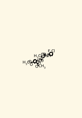 COC(=O)c1ccc2c(c1)c(C(C)=O)nn2CC(=O)N(CC(=O)NCC1=CC=CC(Cl)C1F)C(C)C